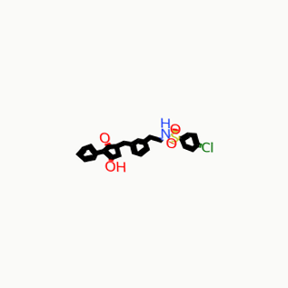 O=C1C(c2ccccc2)=C(O)CC1Cc1cccc(CCNS(=O)(=O)c2ccc(Cl)cc2)c1